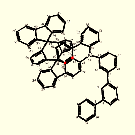 c1ccc(-c2cccc(-c3cccc(N(c4ccc5c(c4)C4(c6ccccc6-5)c5ccccc5C5(c6ccccc6-c6ccccc65)c5ccccc54)c4ccccc4-c4ccccc4)c3)c2)cc1